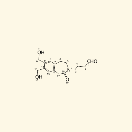 O=CCCCN1CCc2cc(CO)c(CO)cc2CC1=O